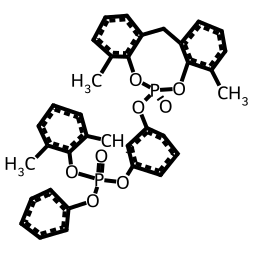 Cc1cccc(C)c1OP(=O)(Oc1ccccc1)Oc1cccc(OP2(=O)Oc3c(C)cccc3Cc3cccc(C)c3O2)c1